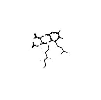 Cc1cc2nc3c(=O)[nH]c(=O)nc-3n(C[C@@H](O)[C@@H](O)[C@@H](O)CO)c2c(CCC(N)N)c1C